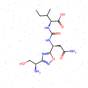 CCC(C)[C@H](NC(=O)N[C@@H](CC(N)=O)c1nc([C@@H](N)CO)no1)C(=O)O